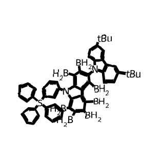 Bc1c(B)c(B)c2c(c1B)c1c(B)c(-n3c4ccc(C(C)(C)C)cc4c4cc(C(C)(C)C)ccc43)c(B)c(B)c1n2-c1cccc(S(c2ccccc2)(c2ccccc2)c2ccccc2)c1